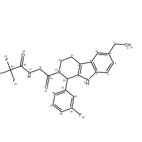 CCc1ccc2[nH]c3c(c2c1)CCN(C(=O)CNC(=O)C(F)(F)F)C3c1cccc(F)c1